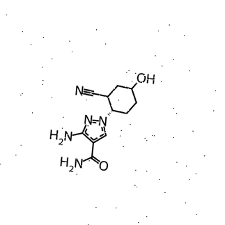 N#CC1CC(O)CC[C@@H]1n1cc(C(N)=O)c(N)n1